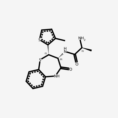 Cc1ccsc1[C@H]1Sc2ccccc2NC(=O)[C@H]1NC(=O)[C@H](C)N